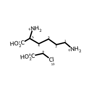 NCCCCC(N)C(=O)O.O=C(O)CCl